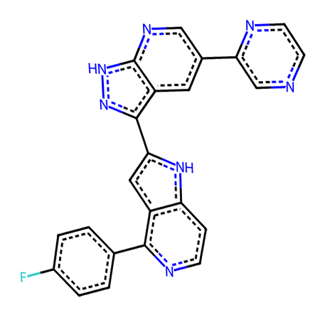 Fc1ccc(-c2nccc3[nH]c(-c4n[nH]c5ncc(-c6cnccn6)cc45)cc23)cc1